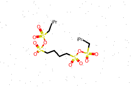 CC(C)CS(=O)(=O)OS(=O)(=O)CCCCS(=O)(=O)OS(=O)(=O)CC(C)C